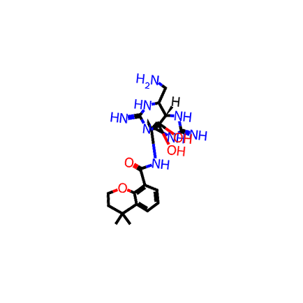 CC1(C)CCOc2c(C(=O)NC3CN4C(=N)NC(CN)[C@@H]5NC(=N)NC54C3(O)O)cccc21